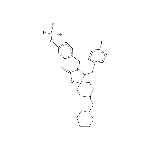 O=C1OC2(CCN(CC3CCCCC3)CC2)C(Cc2ccc(F)cc2)N1Cc1ccc(OC(F)(F)F)cc1